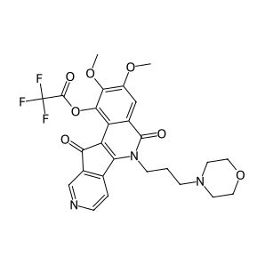 COc1cc2c(=O)n(CCCN3CCOCC3)c3c(c2c(OC(=O)C(F)(F)F)c1OC)C(=O)c1cnccc1-3